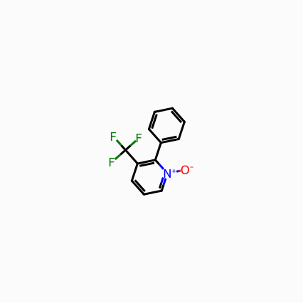 [O-][n+]1cccc(C(F)(F)F)c1-c1ccccc1